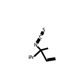 C=CC(C)(N=C=S)C(C)C